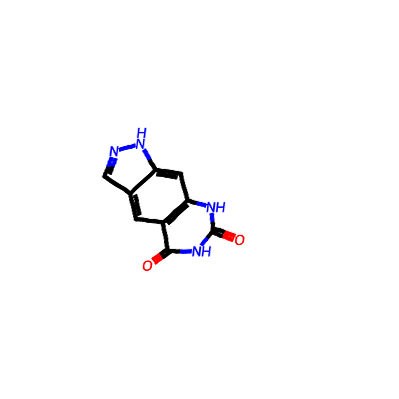 O=c1[nH]c(=O)c2cc3cn[nH]c3cc2[nH]1